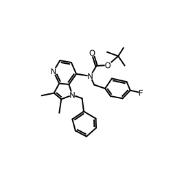 Cc1c(C)n(Cc2ccccc2)c2c(N(Cc3ccc(F)cc3)C(=O)OC(C)(C)C)ccnc12